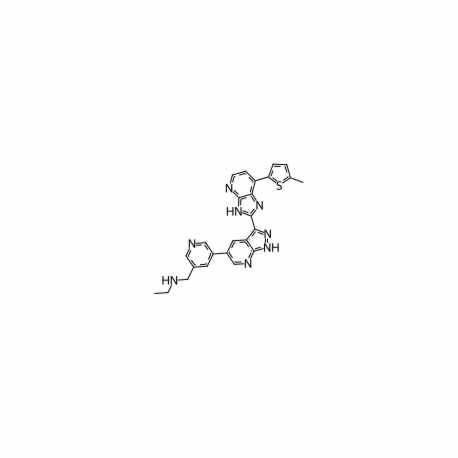 CCNCc1cncc(-c2cnc3[nH]nc(-c4nc5c(-c6ccc(C)s6)ccnc5[nH]4)c3c2)c1